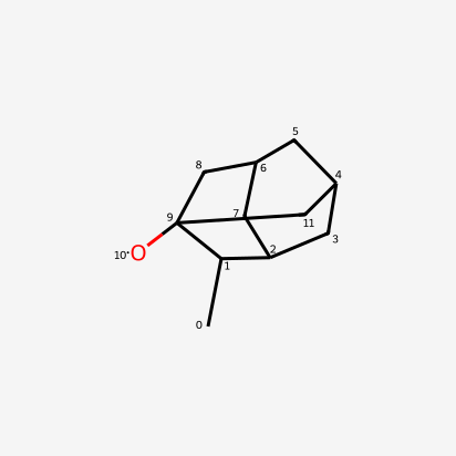 CC1C2CC3CC(C2)CC1([O])C3